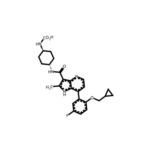 Cc1[nH]c2c(-c3cc(F)ccc3OCC3CC3)ccnc2c1C(=O)N[C@H]1CC[C@H](NC(=O)O)CC1